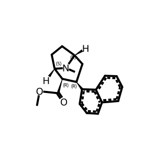 COC(=O)[C@@H]1[C@H](c2cccc3ccccc23)C[C@H]2CC[C@@H]1N2C